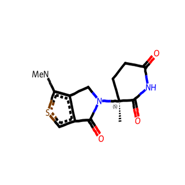 CNc1scc2c1CN([C@@]1(C)CCC(=O)NC1=O)C2=O